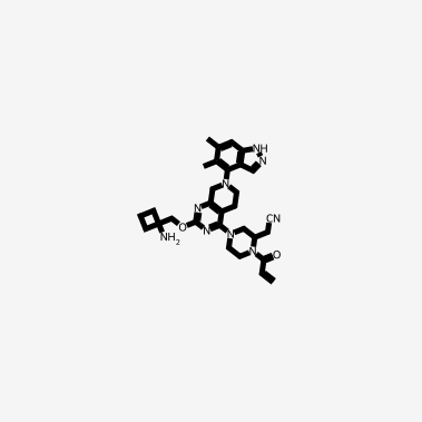 C=CC(=O)N1CCN(c2nc(OCC3(N)CCC3)nc3c2CCN(c2c(C)c(C)cc4[nH]ncc24)C3)CC1CC#N